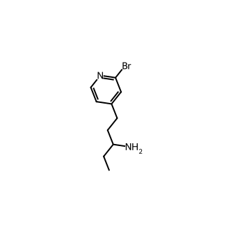 CCC(N)CCc1ccnc(Br)c1